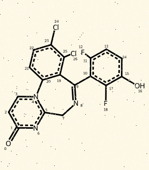 O=c1ccn2c(n1)CN=C(c1c(F)ccc(O)c1F)c1c-2ccc(Cl)c1Cl